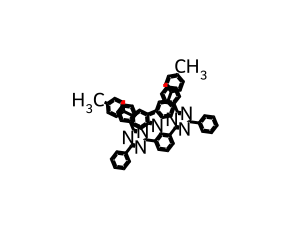 Cc1ccc(-c2ccc3c(c2)c2cc(-c4ccc(C)cc4)ccc2n3-c2c(-c3nc(-c4ccccc4)nc(-c4ccccc4)n3)cccc2-c2nc(-c3ccccc3)nc(-c3ccccc3)n2)cc1